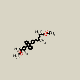 C=CC(=O)OCCC(C)CCCC(C)CCc1ccc(-c2c3ccccc3c(-c3ccc(C(C)(C)OC(=O)C=C)cc3)c3ccccc23)cc1